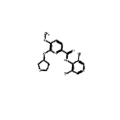 COc1ccc(C(=O)Nc2c(Cl)cncc2Cl)nc1OC1CCOC1